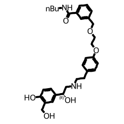 CCCCNC(=O)c1cccc(COCCOc2ccc(CCNC[C@H](O)c3ccc(O)c(CO)c3)cc2)c1